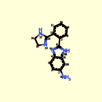 Nc1ccc2nc(-c3ccccc3C3=NCCN3)[nH]c2c1